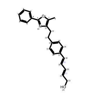 Cc1oc(-c2ccccc2)nc1CCc1ccc(/C=C/C=C/CO)cc1